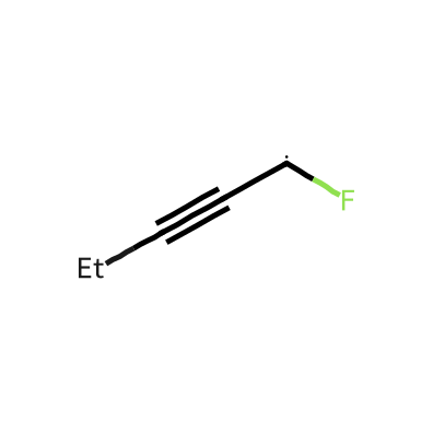 CCC#C[CH]F